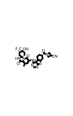 Cc1cc(Nc2ncnc3sc4c(c23)CC[C@H](C(=O)N2CC(C#N)C2)C4)c(=O)n2c1C(=O)N[C@]21CC[C@@](O)(C(F)(F)F)CC1